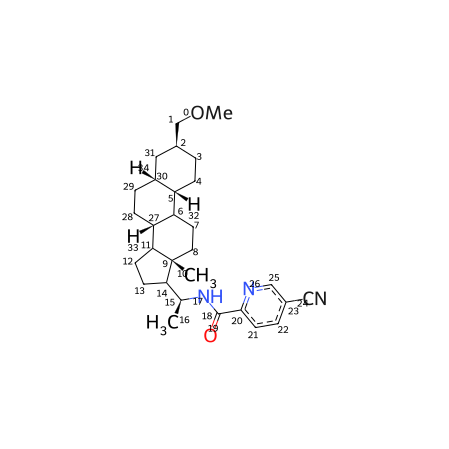 COC[C@H]1CC[C@@H]2C3CC[C@@]4(C)C(CCC4[C@H](C)NC(=O)c4ccc(C#N)cn4)[C@@H]3CC[C@@H]2C1